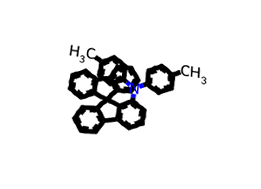 Cc1ccc(N(c2ccc(C)cc2)c2cccc3c2C2(c4ccccc4-c4ccccc42)c2ccccc2-3)cc1